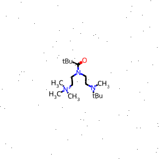 CN(CCN(CC[N+](C)(C)C)C(=O)C(C)(C)C)C(C)(C)C